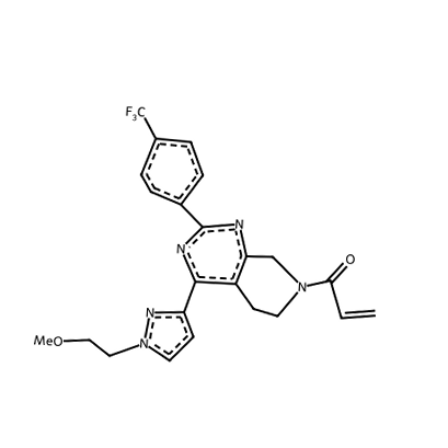 C=CC(=O)N1CCc2c(nc(-c3ccc(C(F)(F)F)cc3)nc2-c2ccn(CCOC)n2)C1